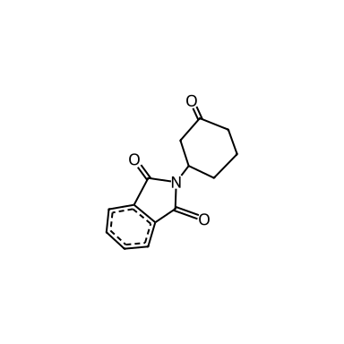 O=C1CCCC(N2C(=O)c3ccccc3C2=O)C1